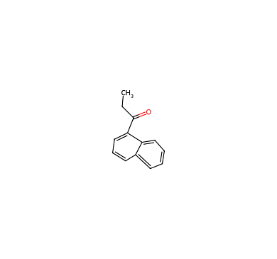 CCC(=O)c1cccc2ccccc12